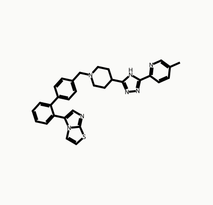 Cc1ccc(-c2nnc(C3CCN(Cc4ccc(-c5ccccc5-c5cnc6sccn56)cc4)CC3)[nH]2)nc1